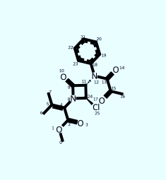 COC(=O)C(=C(C)C)N1C(=O)[C@H](N(C(=O)C(C)=O)c2ccccc2)[C@H]1Cl